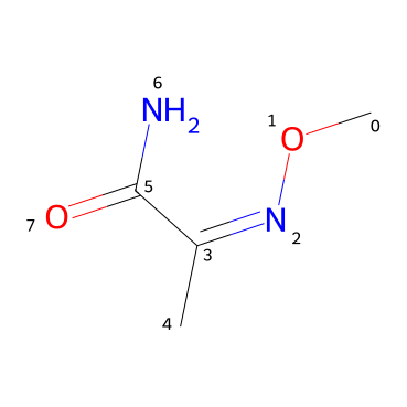 CO/N=C(/C)C(N)=O